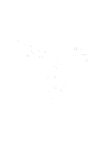 [3H]c1cccc(N(c2ccccc2)c2ccc(Oc3cc(Oc4ccc(N(c5ccccc5)c5cccc([3H])c5)cc4)nc(Oc4ccc(N(c5ccccc5)c5cccc([3H])c5)cc4)c3)cc2)c1